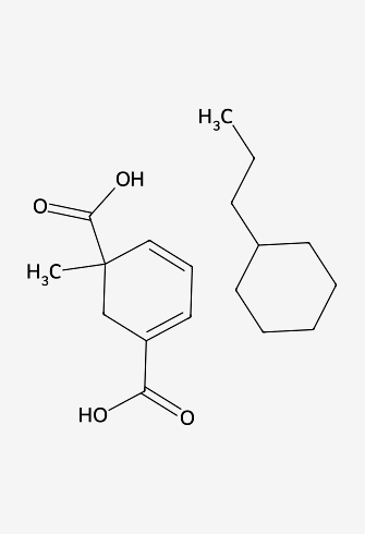 CC1(C(=O)O)C=CC=C(C(=O)O)C1.CCCC1CCCCC1